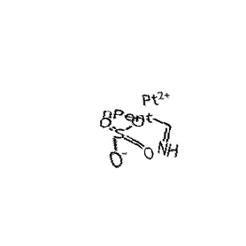 CCCCCC=N.O=S(=O)([O-])[O-].[Pt+2]